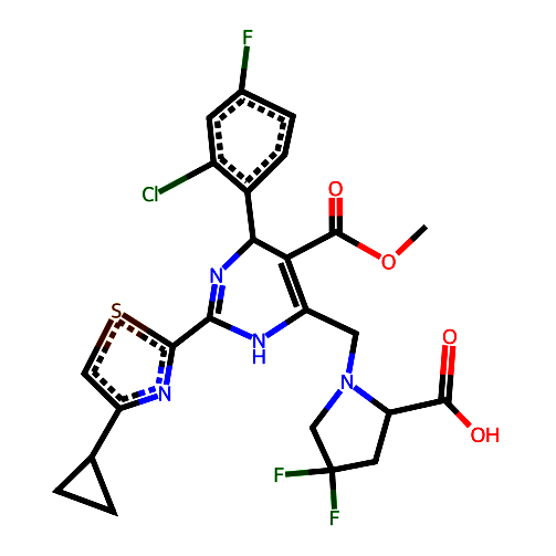 COC(=O)C1=C(CN2CC(F)(F)CC2C(=O)O)NC(c2nc(C3CC3)cs2)=NC1c1ccc(F)cc1Cl